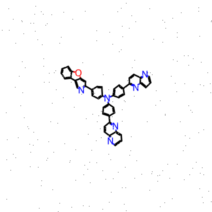 c1cnc2ccc(-c3ccc(N(c4ccc(-c5cc6oc7ccccc7c6cn5)cc4)c4ccc(-c5ccc6ncccc6n5)cc4)cc3)nc2c1